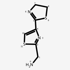 NCc1nc(C2=NCCS2)cs1